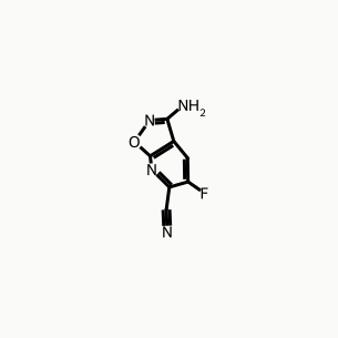 N#Cc1nc2onc(N)c2cc1F